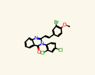 COc1ccc(/C=C/c2nc3ccccc3c(=O)n2-c2ccc(Cl)cc2Cl)cc1Br